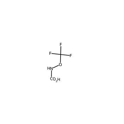 O=C(O)NOC(F)(F)F